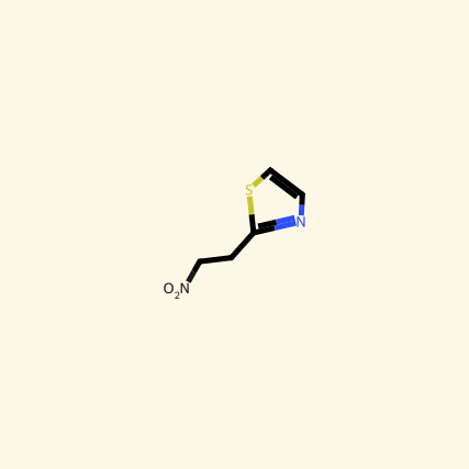 O=[N+]([O-])CCc1nccs1